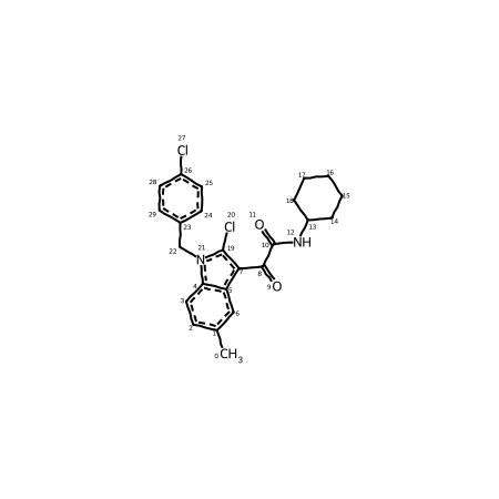 Cc1ccc2c(c1)c(C(=O)C(=O)NC1CCCCC1)c(Cl)n2Cc1ccc(Cl)cc1